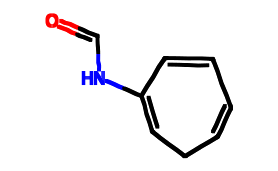 O=CNC1=CCC=CC=C1